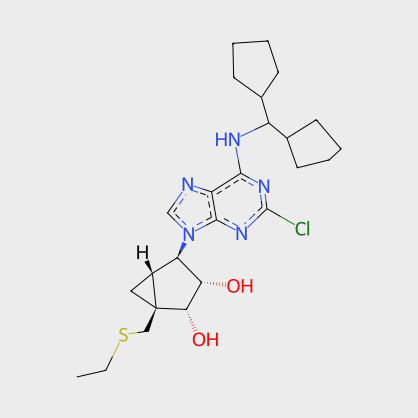 CCSC[C@@]12C[C@@H]1[C@@H](n1cnc3c(NC(C4CCCC4)C4CCCC4)nc(Cl)nc31)[C@H](O)[C@@H]2O